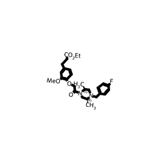 CCOC(=O)CCc1ccc(OCC(=O)N2C[C@@H](C)N(Cc3ccc(F)cc3)C[C@@H]2C)c(OC)c1